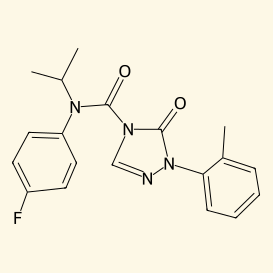 Cc1ccccc1-n1ncn(C(=O)N(c2ccc(F)cc2)C(C)C)c1=O